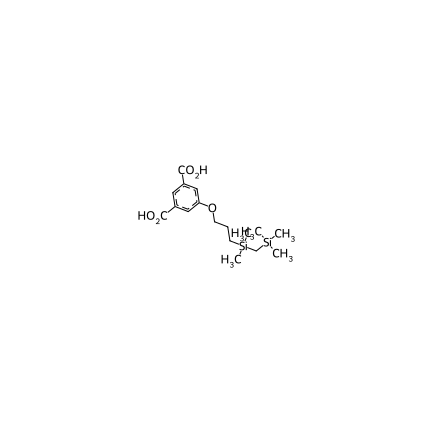 C[Si](C)(C)C[Si](C)(C)CCCOc1cc(C(=O)O)cc(C(=O)O)c1